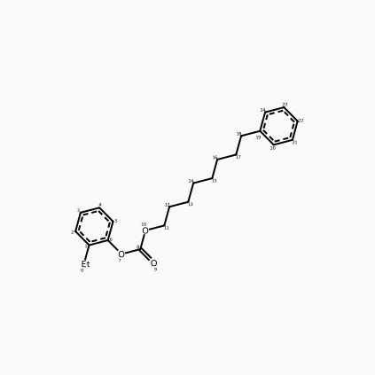 CCc1ccccc1OC(=O)OCCCCCCCCc1ccccc1